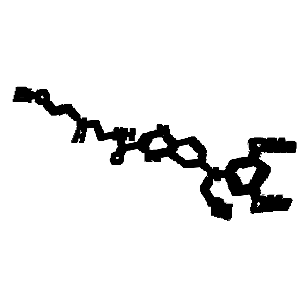 CCOCCNCCNC(=O)c1cnc2ccc(N(CC(C)CC)c3cc(OC)cc(OC)c3)cc2n1